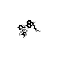 COCCCN1C(=O)c2cccc3c(NC(=O)C4CCCCN4S(=O)(=O)c4c(Cl)sc(Cl)c4Br)ccc1c23